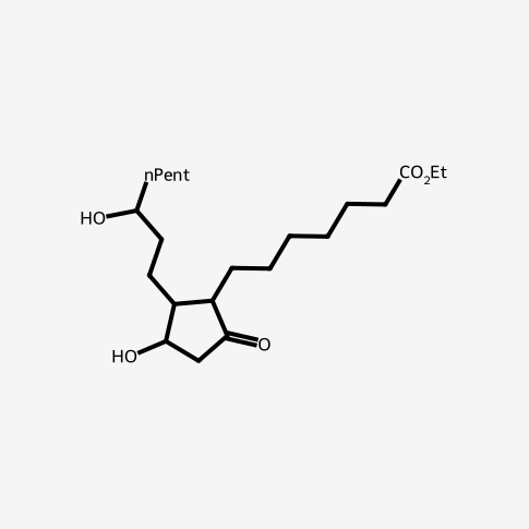 CCCCCC(O)CCC1C(O)CC(=O)C1CCCCCCC(=O)OCC